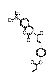 C=CC(=O)Oc1ccc(C=CC(=O)c2cc3ccc(N(CC)CC)cc3oc2=O)cc1